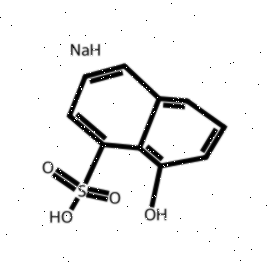 O=S(=O)(O)c1cccc2cccc(O)c12.[NaH]